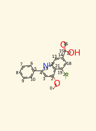 COc1cc(-c2ccccc2)nc2cc(C(=O)O)cc(F)c12